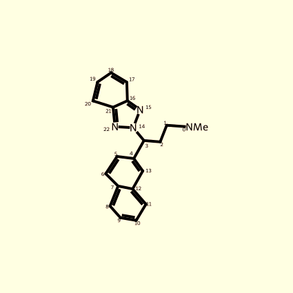 CNCCC(c1ccc2ccccc2c1)n1nc2ccccc2n1